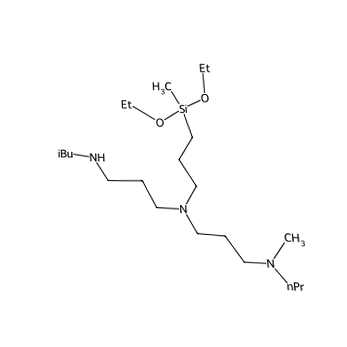 CCCN(C)CCCN(CCCNC(C)CC)CCC[Si](C)(OCC)OCC